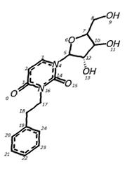 O=c1ccn(C2OC(CO)C(O)[C@@H]2O)c(=O)n1CCc1ccccc1